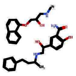 CC(C)NCC(O)COc1cccc2ccccc12.CC(CCc1ccccc1)NCC(O)c1ccc(O)c(C(N)=O)c1